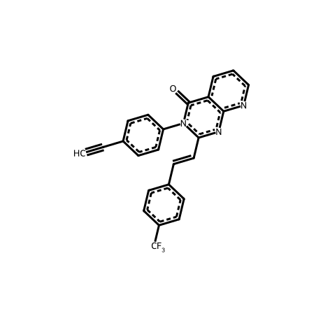 C#Cc1ccc(-n2c(C=Cc3ccc(C(F)(F)F)cc3)nc3ncccc3c2=O)cc1